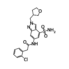 NS(=O)(=O)c1cc(NC(=O)Cc2ccccc2Cl)cc2nn(CC3CCOC3)cc12